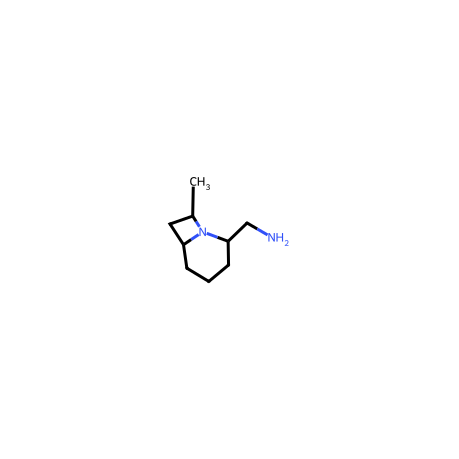 CC1CC2CCCC(CN)N12